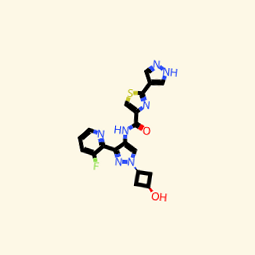 O=C(Nc1cn([C@H]2C[C@H](O)C2)nc1-c1ncccc1F)c1csc(-c2cn[nH]c2)n1